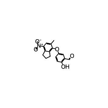 Cc1cc([N+](=O)[O-])c2c(c1Oc1ccc(O)c(C=O)c1)CCC2